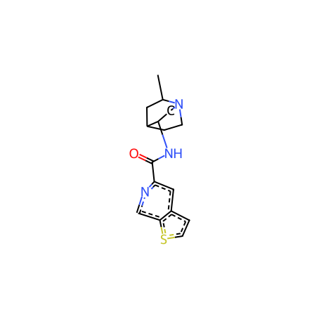 CC1CC2CCN1CC2NC(=O)c1cc2ccsc2cn1